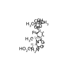 C[C@@H]1c2c(ccc(B3OC(C)(C)C(C)(C)O3)c2F)C(=O)N1[C@@H](CCC(=O)O)C(N)=O